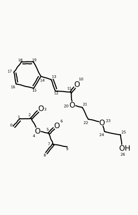 C=CC(=O)OC(=O)C(=C)C.O=C(C=Cc1ccccc1)OCCOCCO